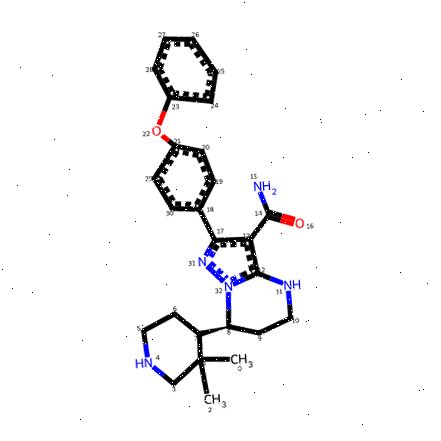 CC1(C)CNCCC1[C@@H]1CCNc2c(C(N)=O)c(-c3ccc(Oc4ccccc4)cc3)nn21